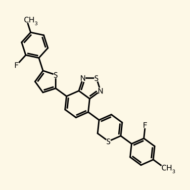 Cc1ccc(C2=CC=C(c3ccc(-c4ccc(-c5ccc(C)cc5F)s4)c4nsnc34)CS2)c(F)c1